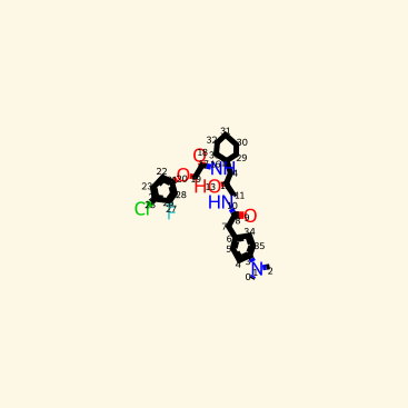 CN(C)c1ccc(CC(=O)NCC(O)CC2(NC(=O)COc3ccc(Cl)c(F)c3)CCCCC2)cc1